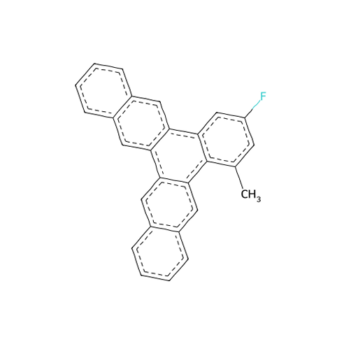 Cc1cc(F)cc2c3cc4ccccc4cc3c3cc4ccccc4cc3c12